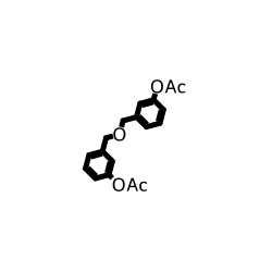 CC(=O)Oc1cccc(COCc2cccc(OC(C)=O)c2)c1